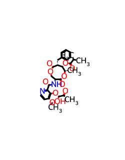 COc1ccnc(C(=O)N[C@H]2COC(=O)[C@H](Cc3ccccc3)[C@@H](OC(=O)C(C)C)[C@H](C)OC2=O)c1OC(O)C(C)=O